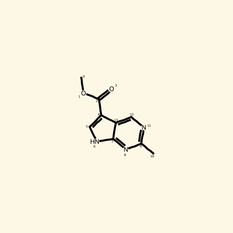 COC(=O)c1c[nH]c2nc(C)ncc12